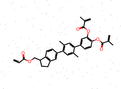 C=CC(=O)OCC1CCc2cc(-c3cc(C)c(-c4ccc(OC(=O)C(=C)C)c(OC(=O)C(=C)C)c4)cc3C)ccc21